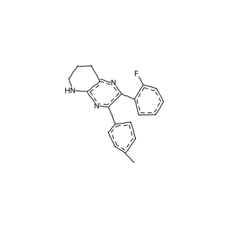 Cc1ccc(-c2nc3c(nc2-c2ccccc2F)CCCN3)cc1